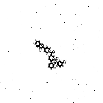 O=C(C1CCC(c2ccccc2)N(S(=O)(=O)c2cccc(Cl)c2)C1)N1CCC(c2nc3ccccc3[nH]2)CC1